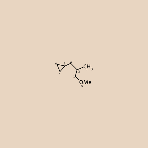 COCC(C)CC1CC1